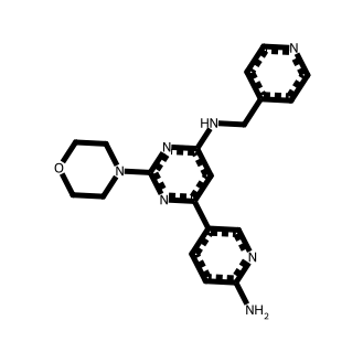 Nc1ccc(-c2cc(NCc3ccncc3)nc(N3CCOCC3)n2)cn1